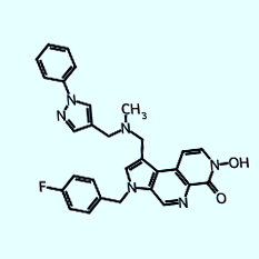 CN(Cc1cnn(-c2ccccc2)c1)Cc1cn(Cc2ccc(F)cc2)c2cnc3c(=O)n(O)ccc3c12